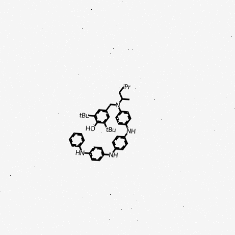 CC(C)CC(C)N(Cc1cc(C(C)(C)C)c(O)c(C(C)(C)C)c1)c1ccc(Nc2ccc(Nc3ccc(Nc4ccccc4)cc3)cc2)cc1